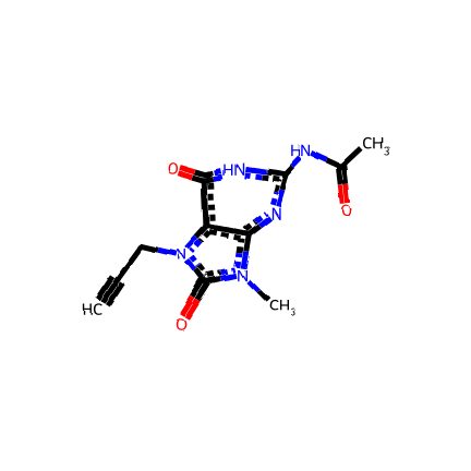 C#CCn1c(=O)n(C)c2nc(NC(C)=O)[nH]c(=O)c21